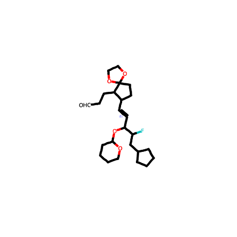 O=CCCC1C(/C=C/C(OC2CCCCO2)C(F)CC2CCCC2)CCC12OCCO2